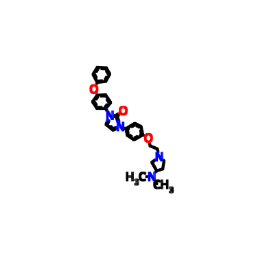 CN(C)C1CCN(CCOc2ccc(-n3ccn(-c4ccc(Oc5ccccc5)cc4)c3=O)cc2)C1